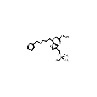 CC(C)(C)OC(=O)C[C@H](CCCOCc1ccccc1)c1cc(CO[Si](C)(C)C(C)(C)C)no1